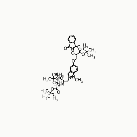 C[n+]1c2ccc(OC[C@H](ON3C(=O)c4ccccc4C3=O)C(=O)OC(C)(C)C)cc2cn1C[C@@H](CNC(=O)OC(C)(C)C)O[Si](C)(C)C(C)(C)C